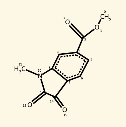 COC(=O)c1ccc2c(c1)N(C)C(=O)C2=O